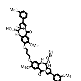 COc1cccc(C2=CN3C(=O)c4cc(OC)c(OCCCOc5cc6c(cc5OC)C(=O)N5C=C(c7cccc(OC)c7)C[C@H]5C(S(=O)(=O)O)N6)cc4NC(OOOS)[C@@H]3C2)c1